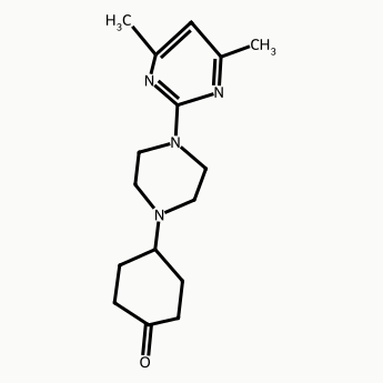 Cc1cc(C)nc(N2CCN(C3CCC(=O)CC3)CC2)n1